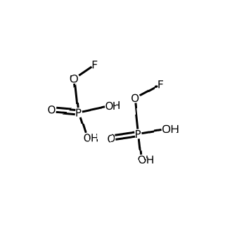 O=P(O)(O)OF.O=P(O)(O)OF